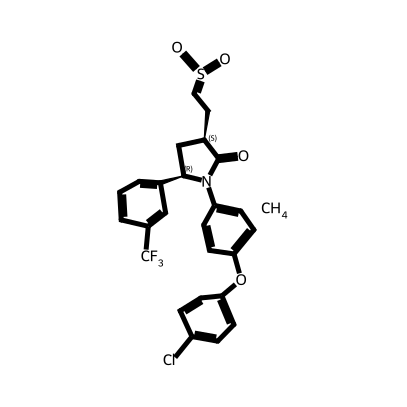 C.O=C1[C@H](CC=S(=O)=O)C[C@H](c2cccc(C(F)(F)F)c2)N1c1ccc(Oc2ccc(Cl)cc2)cc1